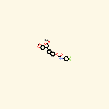 COC(=O)CC(c1ccc2c(c1)OCO2)c1ccc2ccc(OCC(=O)NC3CCC(F)(F)CC3)cc2c1